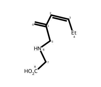 C=C(/C=C\CC)CNCC(=O)O